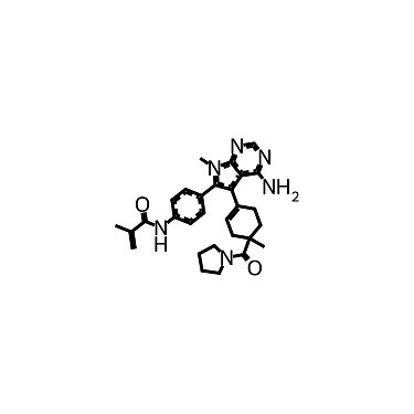 C=C(C)C(=O)Nc1ccc(-c2c(C3=CCC(C)(C(=O)N4CCCC4)CC3)c3c(N)ncnc3n2C)cc1